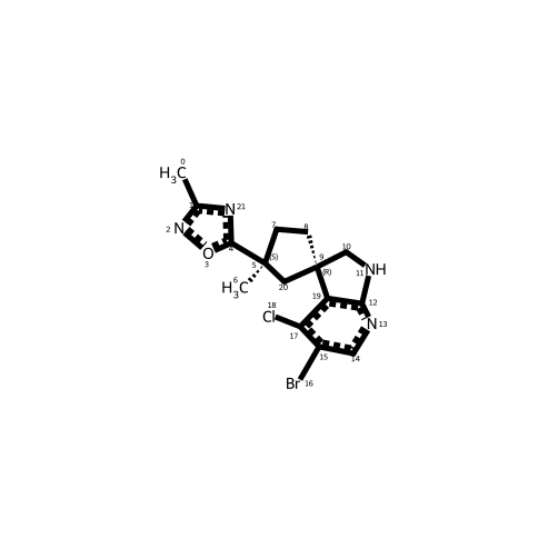 Cc1noc([C@@]2(C)CC[C@@]3(CNc4ncc(Br)c(Cl)c43)C2)n1